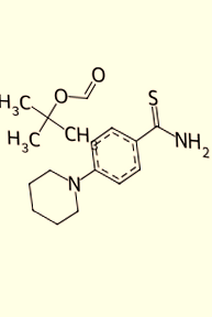 CC(C)(C)OC=O.NC(=S)c1ccc(N2CCCCC2)cc1